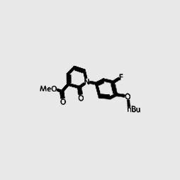 CCCCOc1ccc(-n2cccc(C(=O)OC)c2=O)cc1F